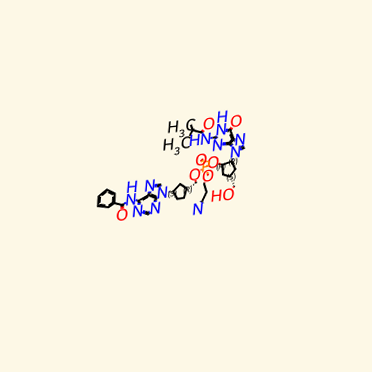 CC(C)C(=O)Nc1nc2c(ncn2[C@@H]2C[C@H](CO)C[C@H]2OP(=O)(OCCC#N)OC[C@@H]2CC[C@H](n3cnc4c(NC(=O)c5ccccc5)ncnc43)C2)c(=O)[nH]1